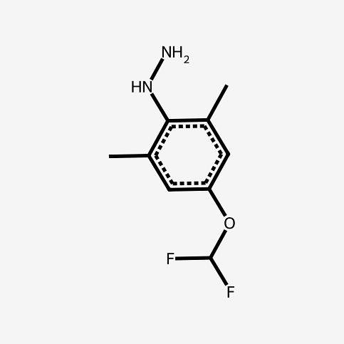 Cc1cc(OC(F)F)cc(C)c1NN